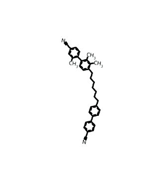 Cc1cc(C#N)ccc1-c1ccc(CCCCCCCc2ccc(-c3ccc(C#N)cc3)cc2)c(C)c1C